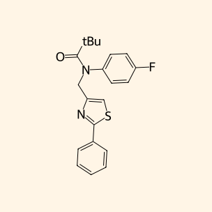 CC(C)(C)C(=O)N(Cc1csc(-c2ccccc2)n1)c1ccc(F)cc1